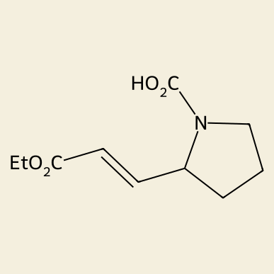 CCOC(=O)C=CC1CCCN1C(=O)O